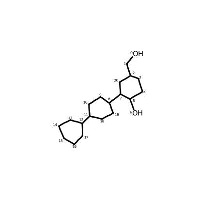 OCC1CCC(O)C(C2CCC(C3CCCCC3)CC2)C1